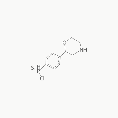 S=[PH](Cl)c1ccc(C2CNCCO2)cc1